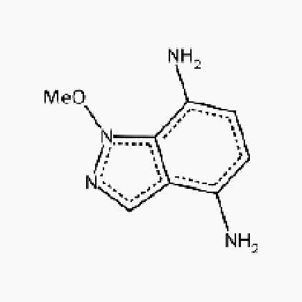 COn1ncc2c(N)ccc(N)c21